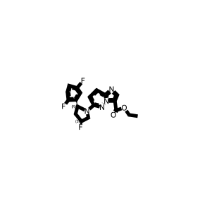 CCOC(=O)c1cnc2ccc(N3C[C@@H](F)C[C@@H]3c3cc(F)ccc3F)nn12